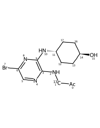 C[13C](=O)[13CH2]Nc1ncc(Br)nc1N[C@H]1CC[C@H](O)CC1